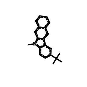 Cn1c2ccc(C(C)(C)C)cc2c2cc3ccccc3cc21